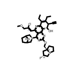 C#CC(CO)/C(CC)=C(/CC)c1nc(/C=C(\Cl)COC)c2c(N3CC4CCC(C3)N4)nc(OC[C@@]34CCCN3C[C@H](F)C4)nc2c1F